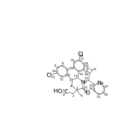 CC1(CC(=O)O)CC(c2cccc(Cl)c2)C(c2ccc(Cl)cc2)N(C(c2ccccn2)C2CC2)C1=O